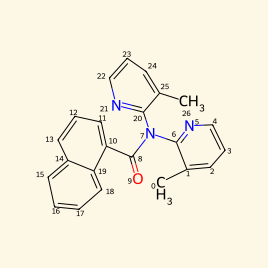 Cc1cccnc1N(C(=O)c1cccc2ccccc12)c1ncccc1C